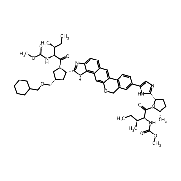 CC[C@H](C)[C@H](NC(=O)OC)C(=O)N1C[C@@H](COCC2CCCCC2)C[C@H]1c1nc2ccc3cc4c(cc3c2[nH]1)OCc1cc(-c2cnc([C@@H]3CC[C@H](C)N3C(=O)[C@@H](NC(=O)OC)[C@@H](C)CC)[nH]2)ccc1-4